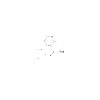 CCO/C(=C(\C#N)c1cccc(Cl)c1Cl)C(OCC)OCC